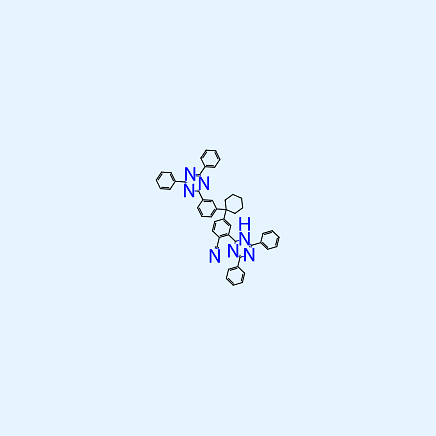 N#Cc1ccc(C2(c3cccc(-c4nc(-c5ccccc5)nc(-c5ccccc5)n4)c3)CCCCC2)cc1C1N=C(c2ccccc2)N=C(c2ccccc2)N1